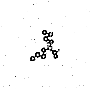 COc1cc(-c2nc(-c3cccc4c3oc3cccc(-c5ccccc5-c5ccccc5)c34)nc(-c3cccc4c3sc3cccc(-c5cccc(-c6ccccc6)c5)c34)n2)cc2ccccc12